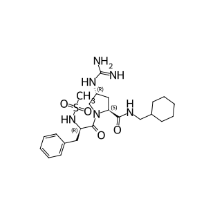 CS(=O)(=O)N[C@H](Cc1ccccc1)C(=O)N1C[C@H](NC(=N)N)C[C@H]1C(=O)NCC1CCCCC1